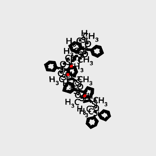 C[SiH](C)O[Si](O[Si](C)(C)CC[Si](C)(C)O[Si](O[Si](C)(C)CC[Si](C)(C)O[Si](O[Si](C)(C)CC[Si](C)(C)O[Si](C)(c1ccccc1)c1ccccc1)(c1ccccc1)c1ccccc1)(c1ccccc1)c1ccccc1)(c1ccccc1)c1ccccc1